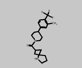 Cc1cc(C2CCN(C(=O)C3CC4(CCCN4)C3)CC2)ccc1C(F)(F)F